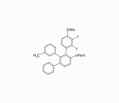 CCCCCc1ccc(-c2ccccc2)c(-c2cccc(C)c2)c1-c1ccc(OC)c(F)c1F